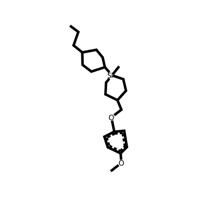 CCCC1CCC([Si]2(C)CCC(COc3ccc(OC)cc3)CC2)CC1